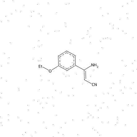 CCOc1cccc(C(N)=CC#N)c1